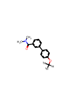 [2H]C([2H])([2H])Oc1ccc(-c2cccc(C(=O)N(C)C)c2)cc1